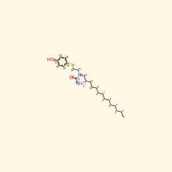 CCCCCCCCCCCCCCN(CCSc1ccc(O)cc1)C(N)=O